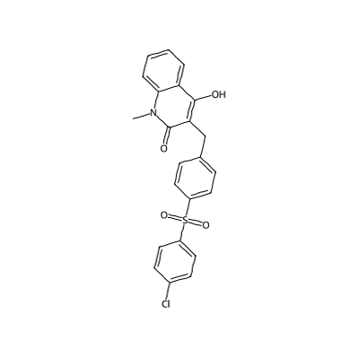 Cn1c(=O)c(Cc2ccc(S(=O)(=O)c3ccc(Cl)cc3)cc2)c(O)c2ccccc21